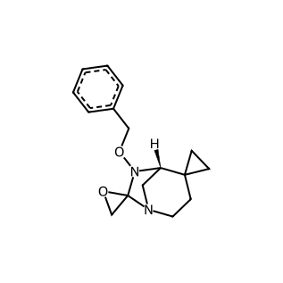 c1ccc(CON2[C@H]3CN(CCC34CC4)C23CO3)cc1